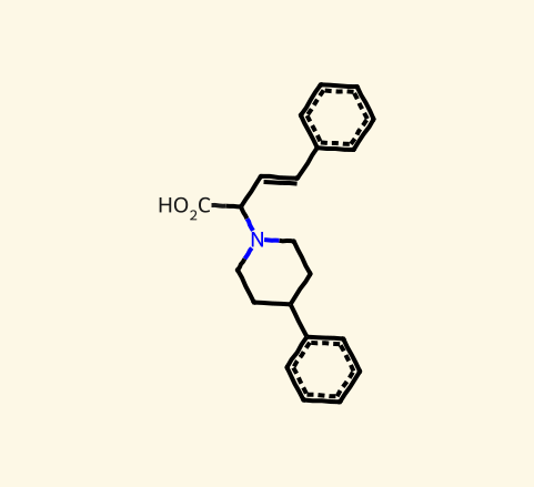 O=C(O)C(/C=C/c1ccccc1)N1CCC(c2ccccc2)CC1